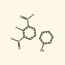 O=[N+]([O-])c1cccc([N+](=O)[O-])c1F.Oc1ccccc1